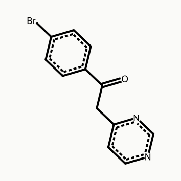 O=C(Cc1ccncn1)c1ccc(Br)cc1